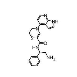 NC[C@H](NC(=O)C1=CN(c2ccnc3[nH]ccc23)CCS1)c1ccccc1